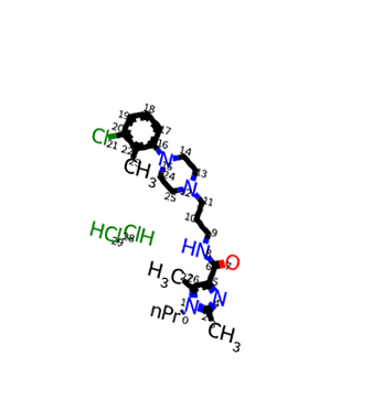 CCCn1c(C)nc(C(=O)NCCCN2CCN(c3cccc(Cl)c3C)CC2)c1C.Cl.Cl